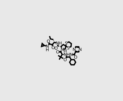 CCC[C@H](NC(=O)[C@@H]1CC2(CN1C(=O)[C@@H](NC(=O)[C@@H](NC(=O)c1cnccn1)C1CCCCC1)C(C)(C)C)SCCCS2)C(=O)C(=O)NC1CC1